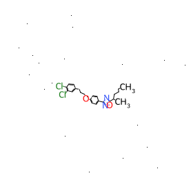 CCCCC(C)c1nc(-c2ccc(OCCCc3ccc(Cl)c(Cl)c3)cc2)no1